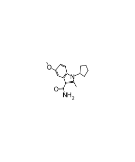 COc1ccc2c(c1)c(C(N)=O)c(C)n2C1CCCC1